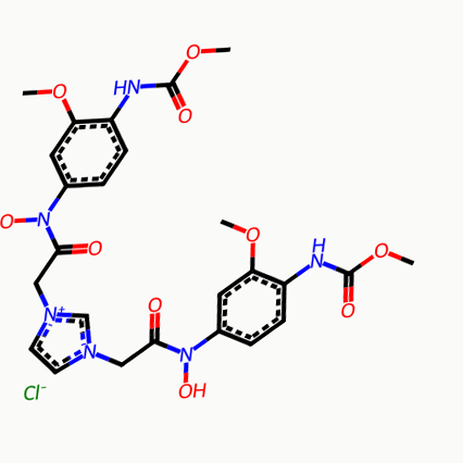 COC(=O)Nc1ccc(N(O)C(=O)Cn2cc[n+](CC(=O)N(O)c3ccc(NC(=O)OC)c(OC)c3)c2)cc1OC.[Cl-]